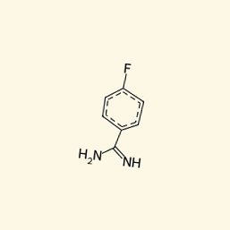 N=C(N)c1ccc(F)cc1